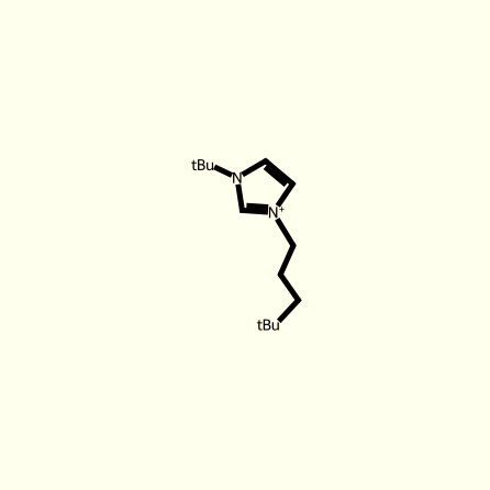 CC(C)(C)CCC[n+]1ccn(C(C)(C)C)c1